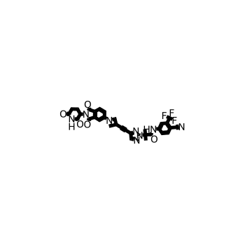 CC(C)(C(=O)Nc1ccc(C#N)c(C(F)(F)F)c1)n1ncc(C#CC2CN(c3ccc4c(c3)C(=O)N(C3CCC(=O)NC3=O)C4=O)C2)n1